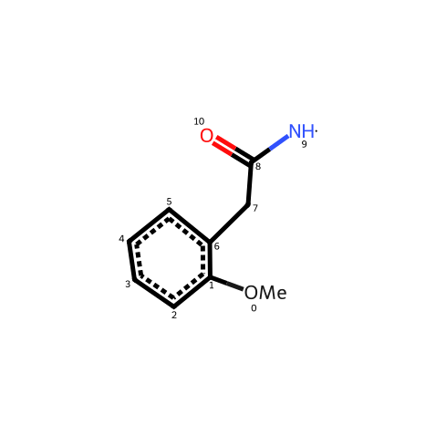 COc1ccccc1CC([NH])=O